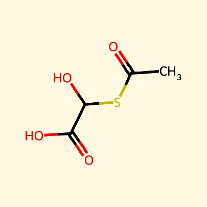 CC(=O)SC(O)C(=O)O